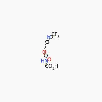 O=C(O)CCNC(=O)c1ccc(OCCCCc2ccc(-c3ccc(C(F)(F)F)cn3)cc2)cc1